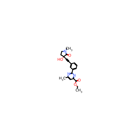 CCOC(=O)c1cc(C)nc(-c2cccc(C#C[C@]3(O)CCN(C)C3=O)c2)n1